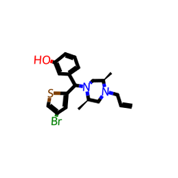 C=CCN1C[C@@H](C)N(C(c2cccc(O)c2)c2cc(Br)cs2)C[C@H]1C